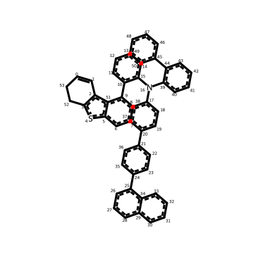 C1=Cc2c(sc3cccc(-c4ccccc4N(c4ccc(-c5ccc(-c6cccc7ccccc67)cc5)cc4)c4ccccc4-c4ccccc4)c23)CC1